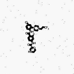 O=C(Nc1ccc(Cl)cc1N1CCN(CCC(F)(F)F)CC1)c1ccc(NC(=O)[C@@H]2CNCCO2)cc1F